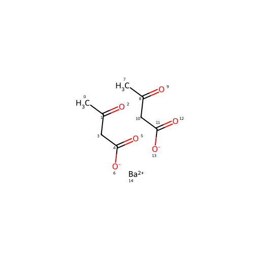 CC(=O)CC(=O)[O-].CC(=O)CC(=O)[O-].[Ba+2]